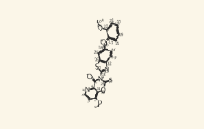 COc1ccnc2c(=O)n(-c3nc4ccc(Oc5ccccc5OI)cc4s3)c(=S)oc12